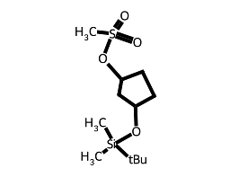 CC(C)(C)[Si](C)(C)OC1CCC(OS(C)(=O)=O)C1